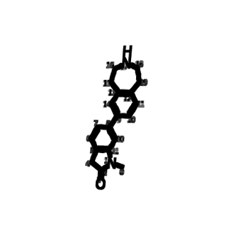 CN1C(=O)Cc2ccc(-c3ccc4c(c3)CCNCC4)cc21